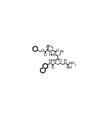 CC(C)C[C@H](NC(=O)C(=O)OCc1ccccc1)C(=O)N[C@@H](CC(C)C)C(=O)N[C@@H](CCCNC(=N)N)C(=O)Nc1ccc2ccccc2c1